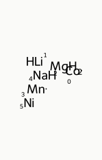 [Co].[LiH].[MgH2].[Mn].[NaH].[Ni]